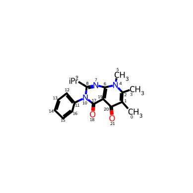 Cc1c(C)n(C)c2nc(C(C)C)n(-c3ccccc3)c(=O)c2c1=O